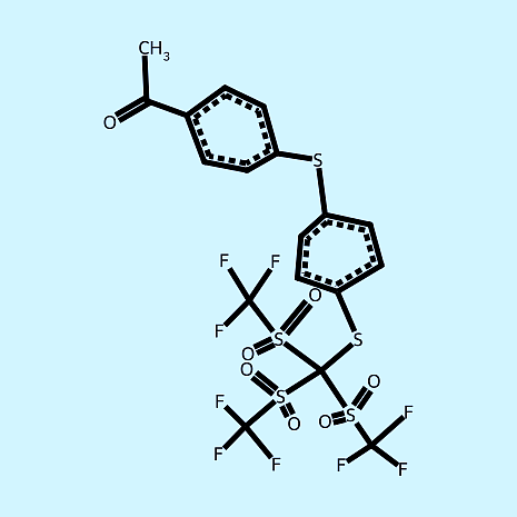 CC(=O)c1ccc(Sc2ccc(SC(S(=O)(=O)C(F)(F)F)(S(=O)(=O)C(F)(F)F)S(=O)(=O)C(F)(F)F)cc2)cc1